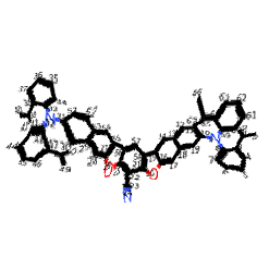 CC(C)c1ccccc1N(c1ccc2cc3c(cc2c1)oc1c(C#N)c2oc4cc5cc(N(c6ccccc6C(C)C)c6ccccc6C(C)C)ccc5cc4c2cc13)c1ccccc1C(C)C